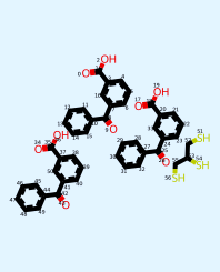 O=C(O)c1cccc(C(=O)c2ccccc2)c1.O=C(O)c1cccc(C(=O)c2ccccc2)c1.O=C(O)c1cccc(C(=O)c2ccccc2)c1.SCC(S)CS